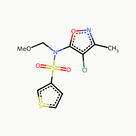 COCN(c1onc(C)c1Cl)S(=O)(=O)c1ccsc1